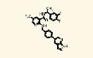 C[C@H](NC(=O)c1cc(C(F)(F)F)cnc1NCc1ccc(-c2cnc3[nH]ncc3c2)cc1)c1ccc(F)c(F)c1